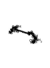 Cc1ncsc1-c1ccc(CNC(=O)[C@@H]2C[C@@H](O)CN2C(=O)C(NC(=O)CCCCCCCCCCCCN2[C@H](C)CN(C(=O)c3ccc(NC(=O)c4cc(OC(C)c5c(Cl)ccc(F)c5Cl)c(N)nn4)cc3)C[C@@H]2C)C(C)(C)C)cc1